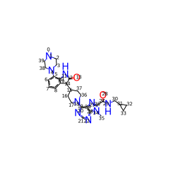 CN1CCN(c2cccc3c2NC(=O)C3C2CCN(c3ncnc4c3nc(C(=O)NCC3CC3)n4C)CC2)CC1